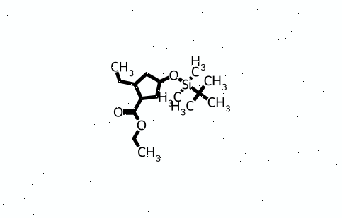 CCOC(=O)C1CC(O[Si](C)(C)C(C)(C)C)CC1CC